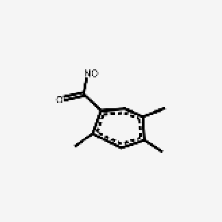 Cc1cc(C)c(C(=O)N=O)cc1C